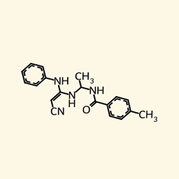 Cc1ccc(C(=O)NC(C)N/C(=C\C#N)Nc2ccccc2)cc1